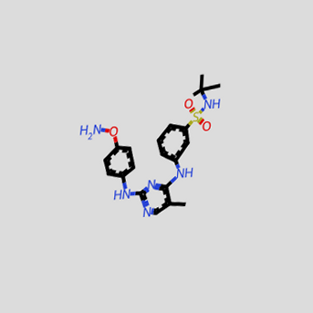 Cc1cnc(Nc2ccc(ON)cc2)nc1Nc1cccc(S(=O)(=O)NC(C)(C)C)c1